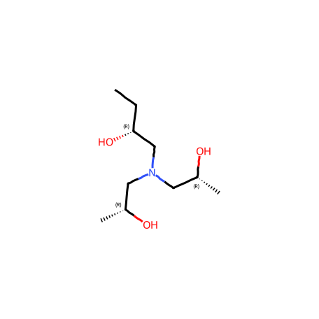 CC[C@@H](O)CN(C[C@@H](C)O)C[C@@H](C)O